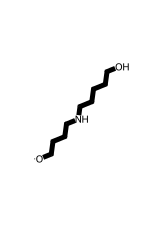 [O]CCCCNCCCCCO